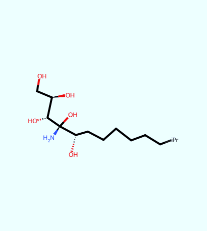 CC(C)CCCCCC[C@H](O)[C@@](N)(O)[C@H](O)[C@H](O)CO